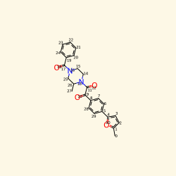 Cc1ccc(-c2ccc(C(=O)C(=O)N3CCN(C(=O)c4ccccc4)CC3C)cc2)o1